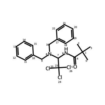 CC(C)(C)C(=O)NC(N(Cc1ccccc1)Cc1ccccc1)C(Cl)(Cl)Cl